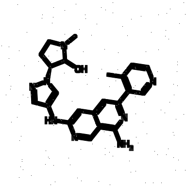 Cc1ccncc1-c1cc2cc(Nc3cnn([C@H]4CCN(C)C4O)c3)ncc2c(N)n1